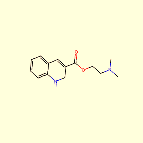 CN(C)CCOC(=O)C1=Cc2ccccc2NC1